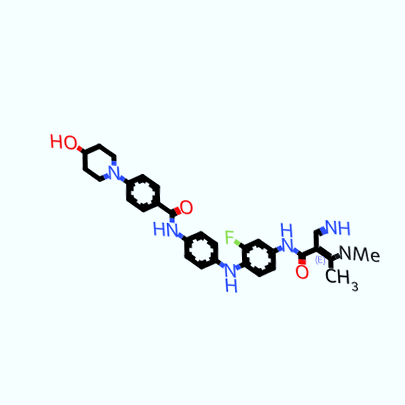 CN/C(C)=C(\C=N)C(=O)Nc1ccc(Nc2ccc(NC(=O)c3ccc(N4CCC(O)CC4)cc3)cc2)c(F)c1